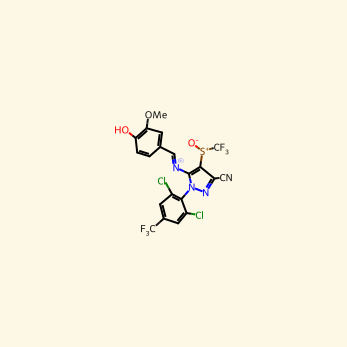 COc1cc(/C=N/c2c([S+]([O-])C(F)(F)F)c(C#N)nn2-c2c(Cl)cc(C(F)(F)F)cc2Cl)ccc1O